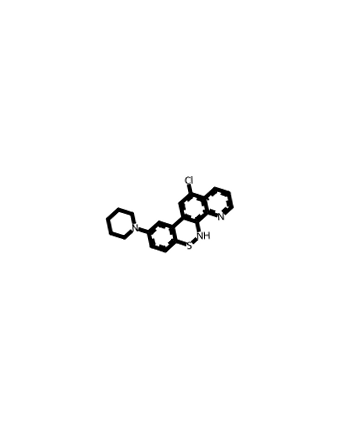 Clc1cc2c(c3ncccc13)NSc1ccc(N3CCCCC3)cc1-2